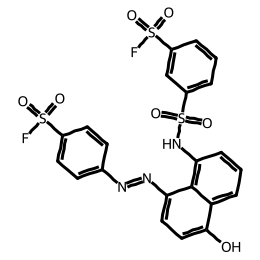 O=S(=O)(F)c1ccc(/N=N/c2ccc(O)c3cccc(NS(=O)(=O)c4cccc(S(=O)(=O)F)c4)c23)cc1